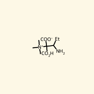 CCC(N)C(C(=O)[O-])(C(=O)O)[N+](C)(C)C